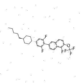 CCCCC[C@H]1CC[C@H](c2cc(F)c(-c3ccc4c(F)c(OC(F)(F)F)ccc4c3)c(F)c2)CC1